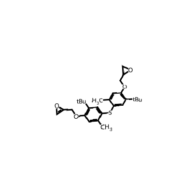 Cc1cc(OCC2=CO2)c(C(C)(C)C)cc1Sc1cc(C(C)(C)C)c(OCC2CO2)cc1C